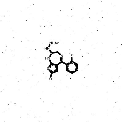 CC(=O)NNC1CN=C(c2ccccc2F)c2cc(Cl)sc2N1